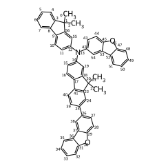 CC1(C)c2ccccc2-c2ccc(N(c3ccc4c(c3)C(C)(C)c3cc(-c5ccc6oc7ccccc7c6c5)ccc3-4)c3ccc4oc5ccccc5c4c3)cc21